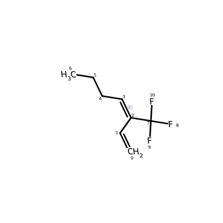 C=C/C(=C\CCC)C(F)(F)F